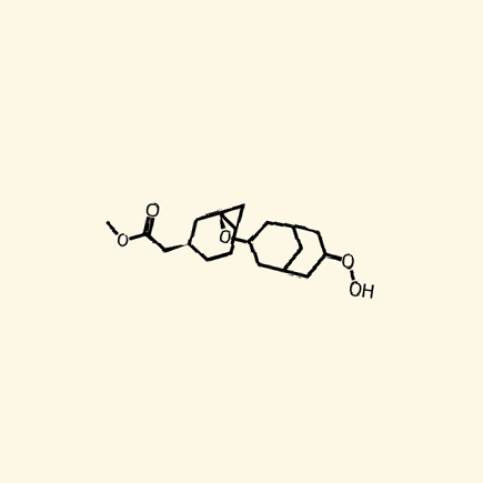 COC(=O)C[C@@H]1CCC2C[C@@]2(OC2CC3CC(CC(OO)C3)C2)C1